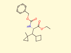 CCOC(=O)[C@@H](NC(=O)OCc1ccccc1)C(C1CCC1)C1(C)CC1